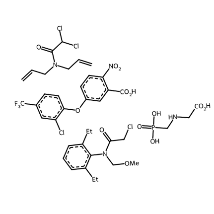 C=CCN(CC=C)C(=O)C(Cl)Cl.CCc1cccc(CC)c1N(COC)C(=O)CCl.O=C(O)CNCP(=O)(O)O.O=C(O)c1cc(Oc2ccc(C(F)(F)F)cc2Cl)ccc1[N+](=O)[O-]